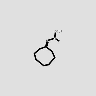 CN(N=C1CCCCCCC1)C(=O)O